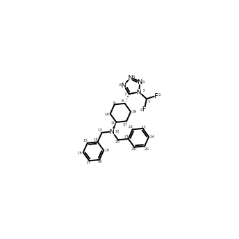 FC(F)n1nnnc1[C@H]1CC[C@H](N(Cc2ccccc2)Cc2ccccc2)CC1